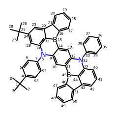 CC(C)(C)c1ccc(N2c3cc4c(cc3B3c5ccccc5-c5cc(C(C)(C)C)cc2c53)N(c2ccccc2)c2cccc3c2B4c2ccccc2-3)cc1